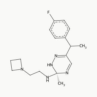 CC(C1=NN[C@](C)(NCCN2CCC2)N=C1)c1ccc(F)cc1